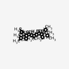 Cc1ccc(N(c2ccc(C)cc2C)c2cc3c(c4ccccc24)-c2cc4c(cc2C3(C)C)-c2cc3c(cc2C4(C)C)-c2c(cc(N(c4ccc(C)cc4C)c4ccc(C)cc4C)c4ccccc24)C3(C)C)c(C)c1